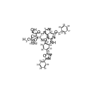 CC(C)(C)[Si](C)(C)O[C@@H]1C[C@H](n2cnc3c(OCc4ccccc4)nc(Nc4cc(-c5nnc(-c6ccccc6)o5)ccc4[N+](=O)[O-])nc32)O[C@@H]1CO